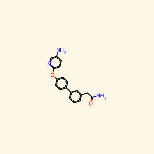 NC(=O)Cc1cccc(-c2ccc(Oc3ccc(N)cn3)cc2)c1